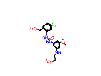 COc1cc(NCCO)cc(NC(=O)Nc2cc(Cl)ccc2CO)c1